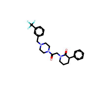 O=C(CN1CCCC(c2ccccc2)C1=O)N1CCN(Cc2cccc(C(F)(F)F)c2)CC1